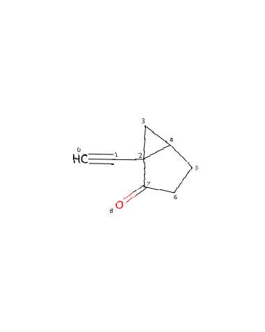 C#CC12CC1CCC2=O